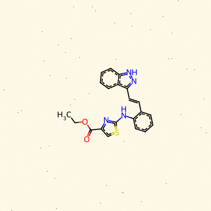 CCOC(=O)c1csc(Nc2ccccc2C=Cc2n[nH]c3ccccc23)n1